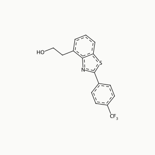 OCCc1cccc2sc(-c3ccc(C(F)(F)F)cc3)nc12